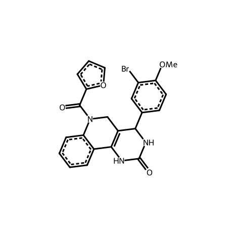 COc1ccc(C2NC(=O)NC3=C2CN(C(=O)c2ccco2)c2ccccc23)cc1Br